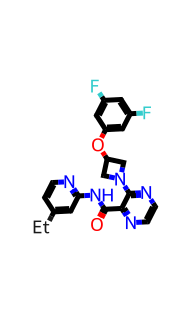 CCc1ccnc(NC(=O)c2nccnc2N2CC(Oc3cc(F)cc(F)c3)C2)c1